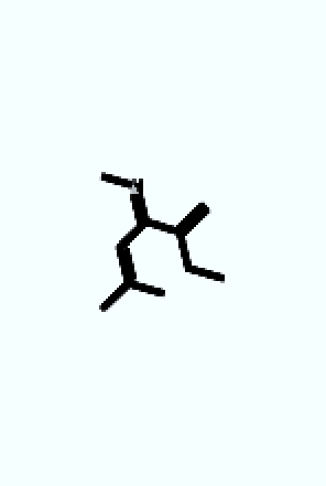 C=C(CC)/C(C=C(C)C)=N/C